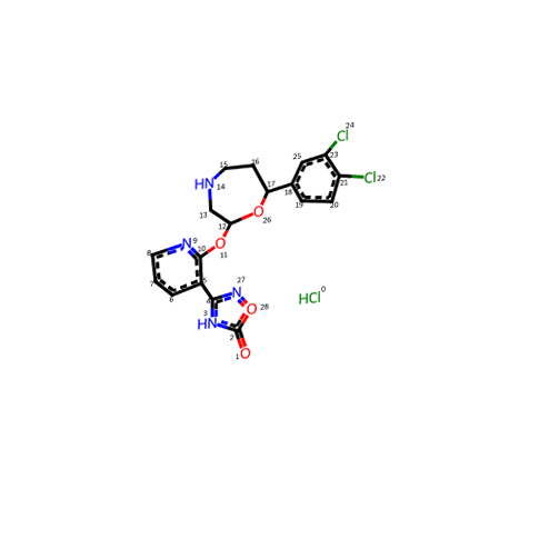 Cl.O=c1[nH]c(-c2cccnc2OC2CNCCC(c3ccc(Cl)c(Cl)c3)O2)no1